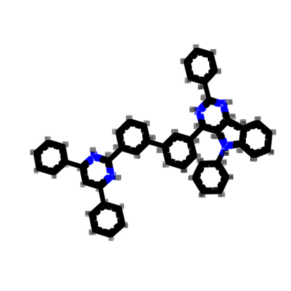 c1ccc(-c2cc(-c3ccccc3)nc(-c3cccc(-c4cccc(-c5nc(-c6ccccc6)nc6c7ccccc7n(-c7ccccc7)c56)c4)c3)n2)cc1